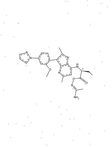 CC[C@H](Nc1cc(C)nc2c(-c3ccc(-n4cccn4)cc3OC)c(C)nn12)C(=O)O/N=C(\C)N